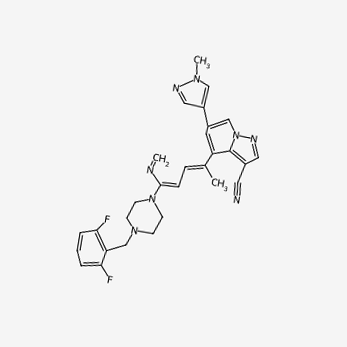 C=N/C(=C\C=C(/C)c1cc(-c2cnn(C)c2)cn2ncc(C#N)c12)N1CCN(Cc2c(F)cccc2F)CC1